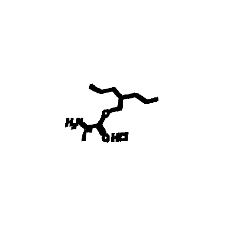 CCCC(CCC)COC(=O)[C@H](C)N.Cl